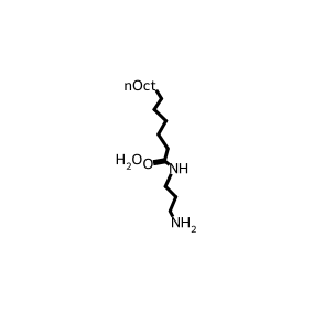 CCCCCCCCCCCCCC(=O)NCCCN.O